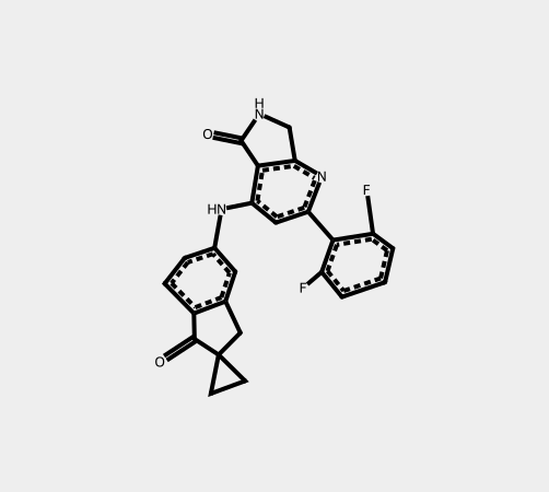 O=C1NCc2nc(-c3c(F)cccc3F)cc(Nc3ccc4c(c3)CC3(CC3)C4=O)c21